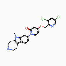 Cn1c2c(c3ccc(-n4ccc(OCc5ncc(Cl)cc5Cl)cc4=O)cc31)CCNCC2